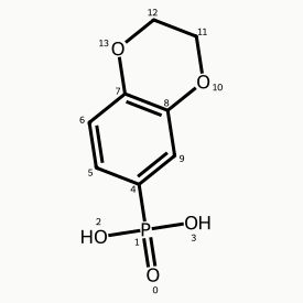 O=P(O)(O)c1ccc2c(c1)OCCO2